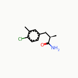 Cc1cc([CH][C@@H](C)C(N)=O)ccc1Cl